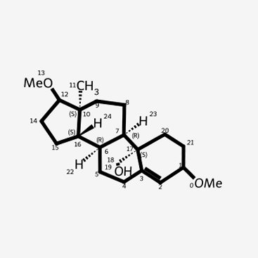 COC1C=C2CC[C@@H]3[C@@H](CC[C@]4(C)C(OC)CC[C@@H]34)[C@@]2(CO)CC1